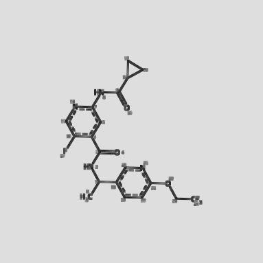 CC(NC(=O)c1cc(NC(=O)C2CC2)ncc1F)c1ccc(OCC(F)(F)F)nc1